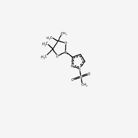 CC1(C)OB(c2ccn(S(C)(=O)=O)n2)OC1(C)C